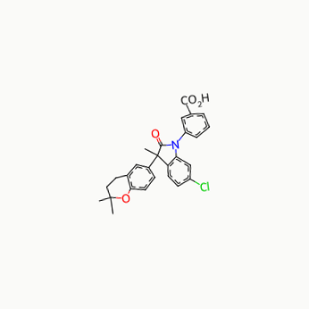 CC1(C)CCc2cc(C3(C)C(=O)N(c4cccc(C(=O)O)c4)c4cc(Cl)ccc43)ccc2O1